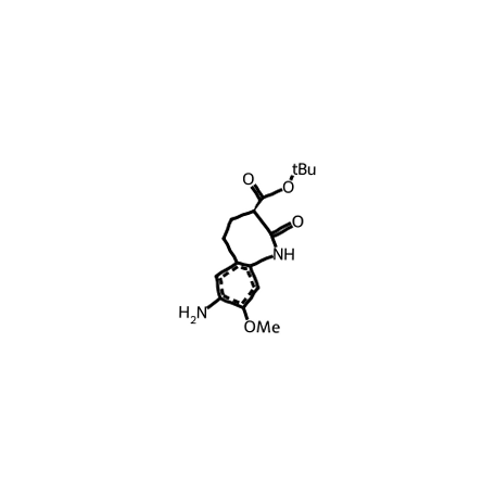 COc1cc2c(cc1N)CC[C@@H](C(=O)OC(C)(C)C)C(=O)N2